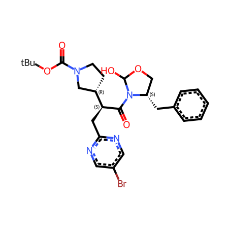 CC(C)(C)OC(=O)N1CC[C@H]([C@H](Cc2ncc(Br)cn2)C(=O)N2C(O)OC[C@@H]2Cc2ccccc2)C1